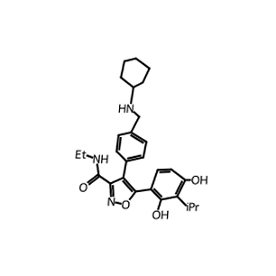 CCNC(=O)c1noc(-c2ccc(O)c(C(C)C)c2O)c1-c1ccc(CNC2CCCCC2)cc1